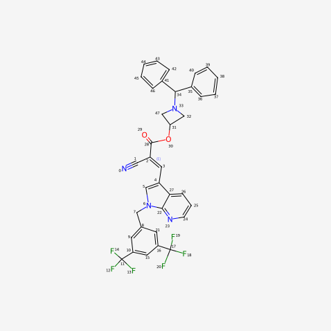 N#C/C(=C\c1cn(Cc2cc(C(F)(F)F)cc(C(F)(F)F)c2)c2ncccc12)C(=O)OC1CN(C(c2ccccc2)c2ccccc2)C1